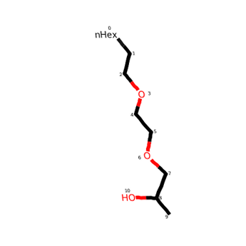 CCCCCCCCOCCOCC(C)O